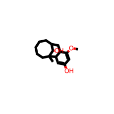 COC1=CC(O)=CC2C1CC1CCCCCC2(C)C1O